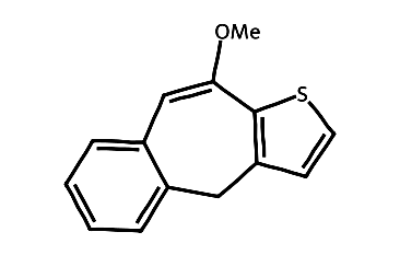 COC1=Cc2ccccc2Cc2ccsc21